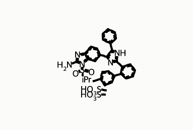 CS(=O)(=O)O.CS(=O)(=O)O.Cc1ccc(-c2ccccc2-c2nc(-c3ccc4nc(N)n(S(=O)(=O)C(C)C)c4c3)c(-c3ccccc3)[nH]2)cc1